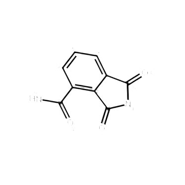 [NH]C(=O)c1cccc2c1C(=O)[N]C2=O